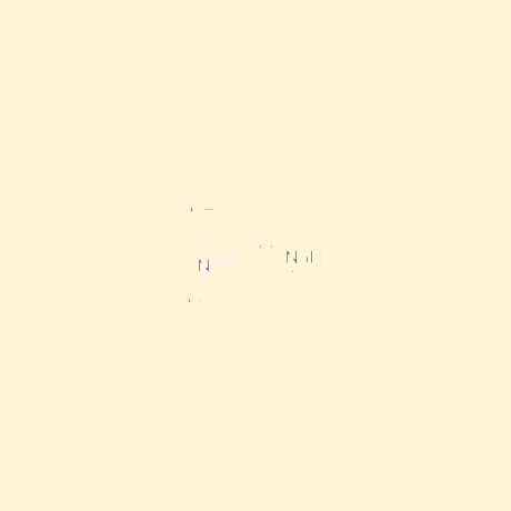 C[N+](=O)[O-].[NaH]